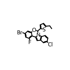 CCc1ccc(C2Oc3cc(Br)cc(F)c3-c3cc4cc(Cl)ccc4n32)s1